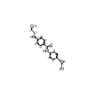 CCC1CC1c1ccc(NC(=O)c2ccc(NCCO)cc2)cc1